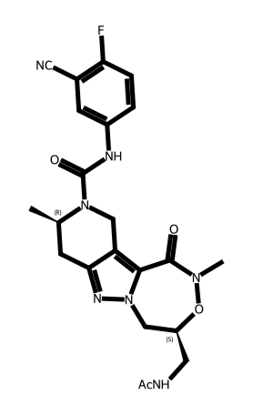 CC(=O)NC[C@H]1Cn2nc3c(c2C(=O)N(C)O1)CN(C(=O)Nc1ccc(F)c(C#N)c1)[C@H](C)C3